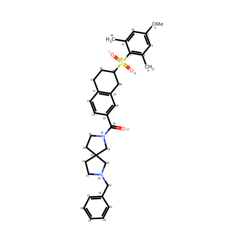 COc1cc(C)c(S(=O)(=O)C2CCc3ccc(C(=O)N4CCC5(CCN(Cc6ccccc6)C5)C4)cc3C2)c(C)c1